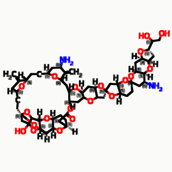 C=C1C[C@@H]2CC[C@@]34CC5(O)O[C@H]6[C@@H](O3)[C@H]3O[C@H](CC[C@@H]3O[C@H]6C5O4)CC(=O)O[C@@H]3CC4OC5C[C@@]6(C[C@@H]7O[C@@]8(CC[C@@H]7O6)C[C@H](N)[C@@H]6O[C@@H]7C[C@@H]([C@@H](O)CO)O[C@@H]7C[C@@H]6O8)O[C@@H]5C[C@@H]4O[C@H]3C[C@H]3O[C@@H](CC[C@@H]1O2)C[C@@H](N)C3=C